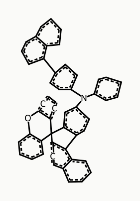 c1ccc(N(c2ccc(-c3cccc4ccccc34)cc2)c2ccc3c(c2)C2(c4ccccc4Oc4ccccc42)c2ccc4ccccc4c2-3)cc1